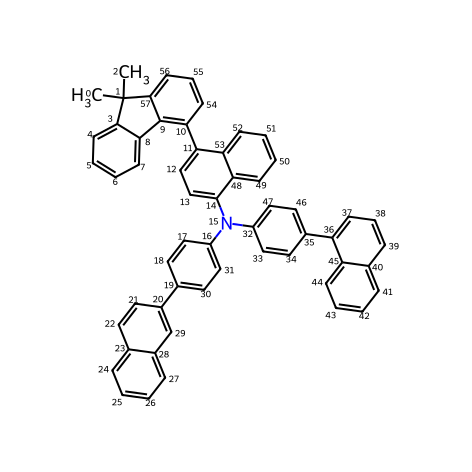 CC1(C)c2ccccc2-c2c(-c3ccc(N(c4ccc(-c5ccc6ccccc6c5)cc4)c4ccc(-c5cccc6ccccc56)cc4)c4ccccc34)cccc21